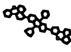 c1ccc(-c2c3ccc(-c4ccc5c6c(cccc46)Oc4ccccc4-5)cc3c(-c3ccccc3)c3ccc(-c4ccc5c(c4)Oc4cccc6cccc-5c46)cc23)cc1